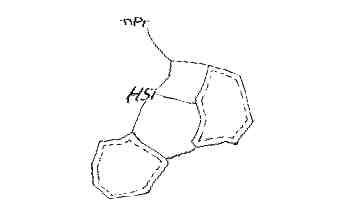 CC[CH]C1c2cccc3c2[SiH]1c1ccccc1-3